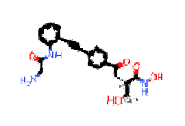 C[C@H](O)[C@H](CC(=O)c1ccc(C#Cc2ccccc2NC(=O)CN)cc1)C(=O)NO